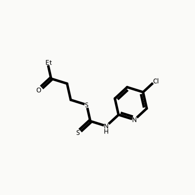 CCC(=O)CCSC(=S)Nc1ccc(Cl)cn1